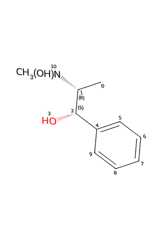 C[C@H]([C@@H](O)c1ccccc1)N(C)O